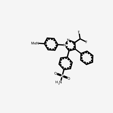 CNc1ccc(-n2nc(C(F)F)c(-c3ccccc3)c2-c2ccc(S(N)(=O)=O)cc2)cc1